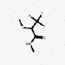 CNC(=O)C(SC)C(F)(F)F